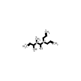 C=CCN(CC=C)C(CC)N(C)C(O)C=C